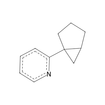 c1ccc(C23CCCC2C3)nc1